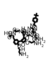 C[C@@H]1NC(=O)[C@@H](N(C)C(=O)[C@H](CNS(N)(=O)=O)NC(=O)c2ncc(-c3ccc(C(C)(C)C)cc3)nc2N)c2cc(OCCCN)c(O)c(c2)-c2cc(ccc2OCCCN)C[C@@H](C(=O)O)NC1=O